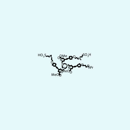 CCCN(C)CCCOc1ccc(C#Cc2cc(CN3CCN(Cc4cc(C#Cc5ccc(OCCCN(C)CCCS(=O)(=O)O)cc5)cc(C(=O)OC)n4)CCN(Cc4cc(C#Cc5ccc(OCCCN(C)CCCS(=O)(=O)O)cc5)cc(C(=O)OC)n4)CC3)nc(C(=O)OC)c2)cc1